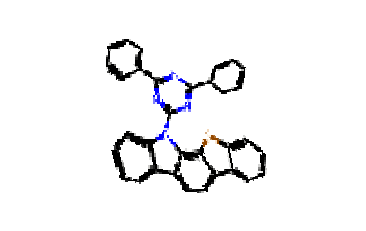 C1=CCC(c2nc(-c3ccccc3)nc(-n3c4ccccc4c4ccc5c6ccccc6sc5c43)n2)C=C1